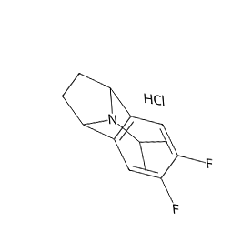 CC(C)N1C2CCC1c1cc(F)c(F)cc12.Cl